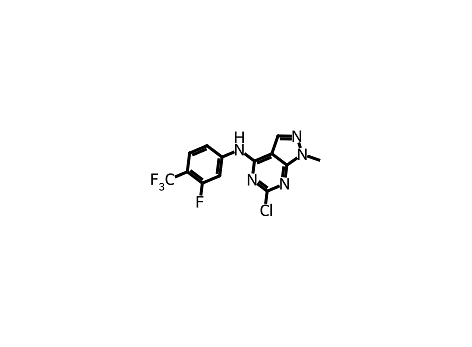 Cn1ncc2c(Nc3ccc(C(F)(F)F)c(F)c3)nc(Cl)nc21